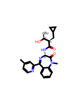 CCCC[C@H](O)[C@@H](CC1CC1)C(=O)N[C@H]1N=C(c2cc(C)ccn2)c2ccccc2N(C)C1=O